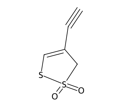 C#CC1=CSS(=O)(=O)C1